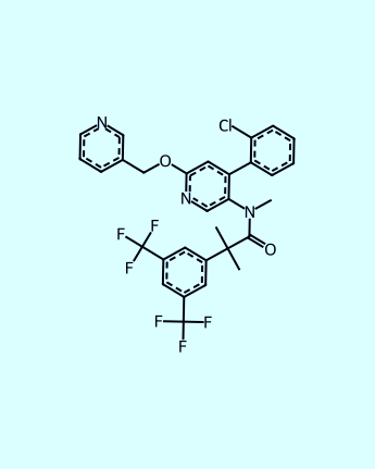 CN(C(=O)C(C)(C)c1cc(C(F)(F)F)cc(C(F)(F)F)c1)c1cnc(OCc2cccnc2)cc1-c1ccccc1Cl